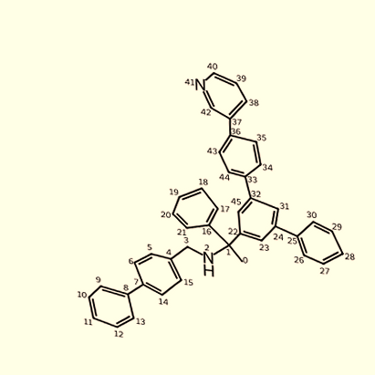 CC(NCc1ccc(-c2ccccc2)cc1)(c1ccccc1)c1cc(-c2ccccc2)cc(-c2ccc(-c3cccnc3)cc2)c1